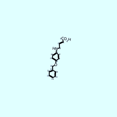 O=C(O)C=CCNc1ccc(OCc2ccccc2)cc1